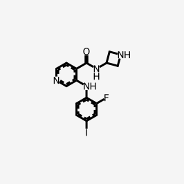 O=C(NC1CNC1)c1ccncc1Nc1ccc(I)cc1F